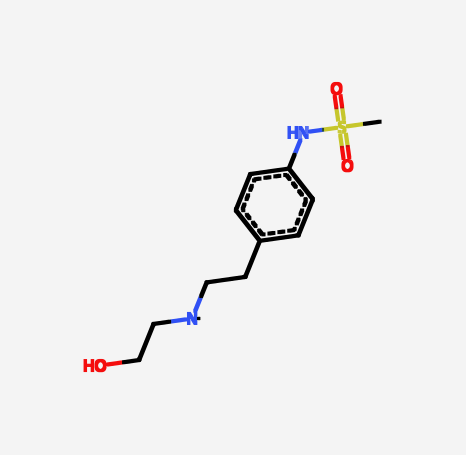 CS(=O)(=O)Nc1ccc(CC[N]CCO)cc1